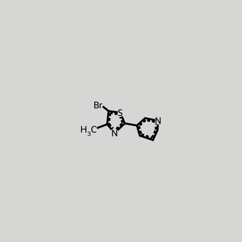 Cc1nc(-c2cccnc2)sc1Br